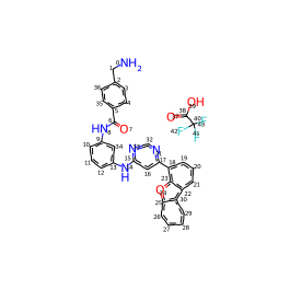 NCc1ccc(C(=O)Nc2cccc(Nc3cc(-c4cccc5c4oc4ccccc45)ncn3)c2)cc1.O=C(O)C(F)(F)F